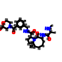 CNC(C)C(=O)N[C@H]1CCCC[C@H]2CC[C@@H](C(=O)NCc3cccc(C(=O)N4CCOC(=O)C4)c3)N2C1=O